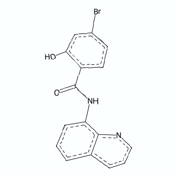 O=C(Nc1cccc2cccnc12)c1ccc(Br)cc1O